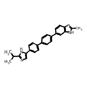 Cc1nc2ccc(-c3ccc(-c4ccc(-c5cnc(C(C)C)[nH]5)cc4)cc3)cc2[nH]1